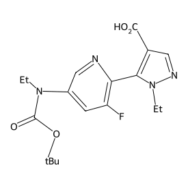 CCN(C(=O)OC(C)(C)C)c1cnc(-c2c(C(=O)O)cnn2CC)c(F)c1